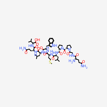 CSCC[C@H](NC(=O)[C@H](CC(C)C)NC(=O)[C@@H]1CCCN1C(=O)[C@@H]1CCCN1C(=O)CNC(=O)[C@@H](N)CCC(N)=O)C(=O)N[C@@H](Cc1c[nH]c2ccccc12)C(=O)N[C@@H](CC(C)C)C(=O)N[C@@H](CCC(N)=O)C(=O)N[C@H](C(=O)O)C(C)C